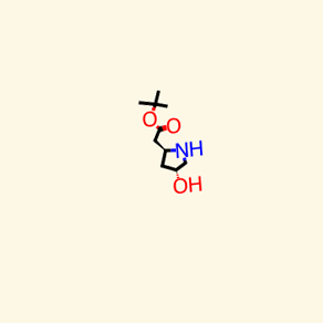 CC(C)(C)OC(=O)C[C@@H]1C[C@@H](O)CN1